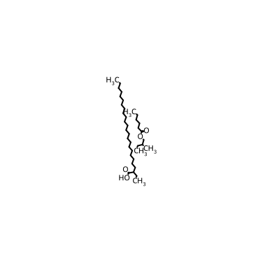 CCCCCC(=O)OCC(C)CC.CCCCCCCCCCCCCCCCCCCCCCC(CC)C(=O)O